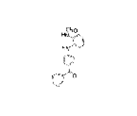 O=CNc1ccccc1Nc1ccc(C(=O)c2ccccc2)cc1